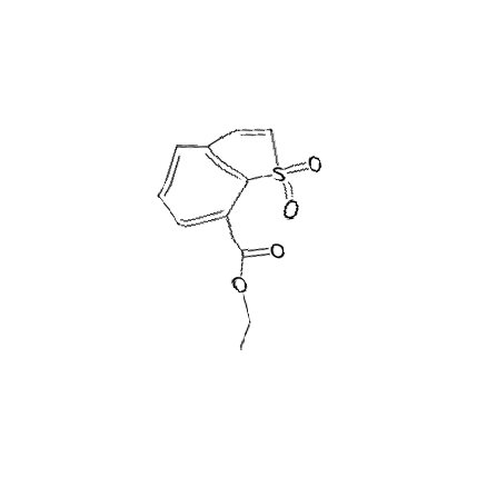 CCOC(=O)c1cccc2c1S(=O)(=O)C=C2